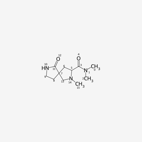 CN(C)C(=O)C1CC2(CCNC2=O)CN1C